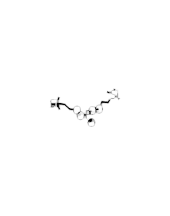 C[Si](C)(C)CCOO[P](=O)OOCC[Si](C)(C)C